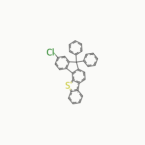 Clc1ccc2c(c1)C(c1ccccc1)(c1ccccc1)c1ccc3c(sc4ccccc43)c1-2